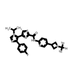 [2H]C([2H])([2H])N1CC(c2ccc(NC(=O)c3nc(-c4c(-c5ccc(F)cc5)ncn4C(C)C)cs3)nc2)C1